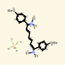 CCN(CC)/C(=C/C=C/C=C/C(c1ccc(OC)cc1)=[N+](CC)CC)c1ccc(OC)cc1.F[B-](F)(F)F